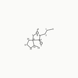 CCCCC(=O)C1(COC)CCCC1C